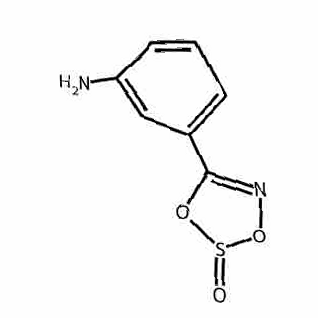 Nc1cccc(C2=NOS(=O)O2)c1